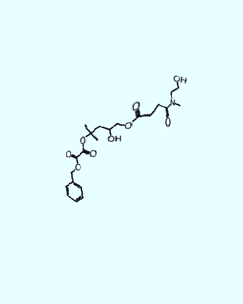 CN(CCO)C(=O)CCC(=O)OCC(O)CC(C)(C)OC(=O)C(=O)OCc1ccccc1